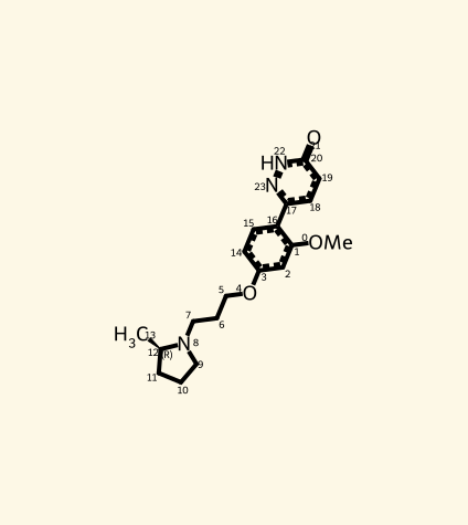 COc1cc(OCCCN2CCC[C@H]2C)ccc1-c1ccc(=O)[nH]n1